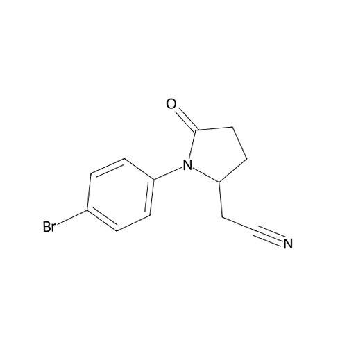 N#CCC1CCC(=O)N1c1ccc(Br)cc1